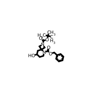 CC(C)(C)OC(=O)N1CC2(CC(O)CCN2C(=O)OCc2ccccc2)C1